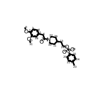 COc1ccc(CC(=O)N2CCC(CCOS(=O)(=O)c3ccc(C)cc3)CC2)cc1OC